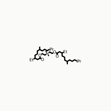 CCC(CCCC(C)CCCC(C)C)CC(=O)OCC[N+](C)(C)CCOC(=O)CC(CC)CCCC(C)CCCC(C)C